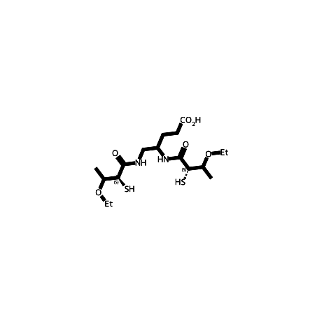 CCOC(C)[C@H](S)C(=O)NCC(CCC(=O)O)NC(=O)[C@@H](S)C(C)OCC